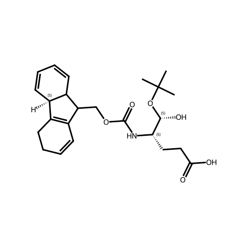 CC(C)(C)O[C@H](O)[C@H](CCC(=O)O)NC(=O)OCC1C2=C(CCC=C2)[C@H]2C=CC=CC12